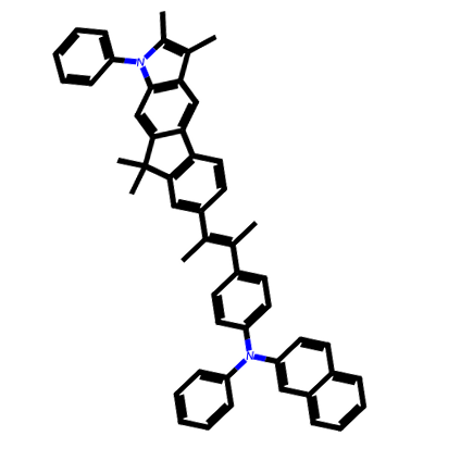 C/C(=C(/C)c1ccc2c(c1)C(C)(C)c1cc3c(cc1-2)c(C)c(C)n3-c1ccccc1)c1ccc(N(c2ccccc2)c2ccc3ccccc3c2)cc1